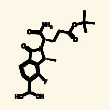 C[C@@H]1c2c(ccc(B(O)O)c2F)C(=O)N1[C@@H](CCC(=O)OC(C)(C)C)C(N)=O